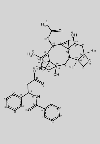 CC(=O)O[C@H]1C2=C[C@@]23C(C[C@]2(O)C[C@H](OC(=O)CC(NC(=O)c4ccccc4)c4ccccc4)C(C)=C1C2(C)C)[C@@H]1CO[C@@H]1C[C@@H]3O